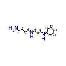 NCCCCNCCCNC1CCCCC1